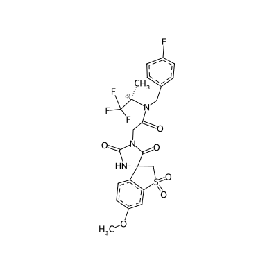 COc1ccc2c(c1)S(=O)(=O)CC21NC(=O)N(CC(=O)N(Cc2ccc(F)cc2)[C@@H](C)C(F)(F)F)C1=O